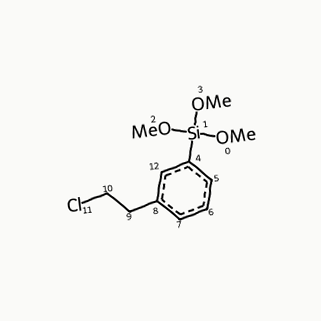 CO[Si](OC)(OC)c1cccc(CCCl)c1